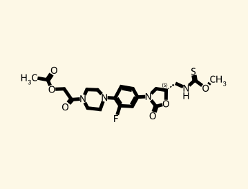 COC(=S)NC[C@H]1CN(c2ccc(N3CCN(C(=O)COC(C)=O)CC3)c(F)c2)C(=O)O1